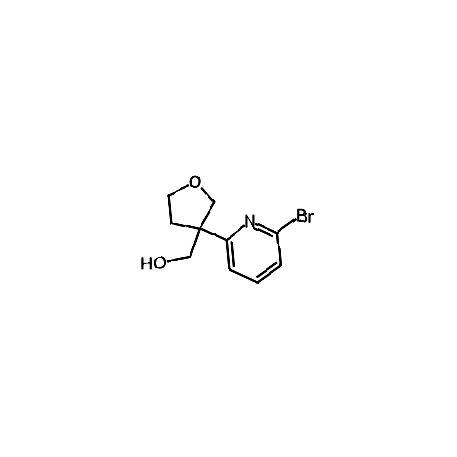 OCC1(c2cccc(Br)n2)CCOC1